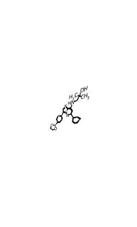 CC(C)(O)CNc1cc(-c2ccccc2)nn2c(-c3ccc(C4OCCO4)cc3)cnc12